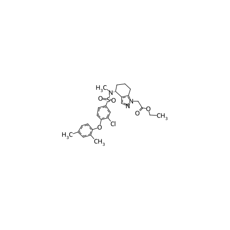 CCOC(=O)Cn1ncc2c1CCC[C@H]2N(C)S(=O)(=O)c1ccc(Oc2ccc(C)cc2C)c(Cl)c1